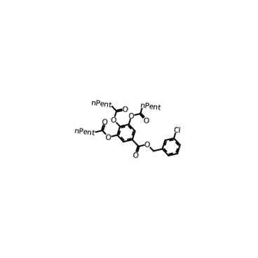 CCCCCC(=O)Oc1cc(C(=O)OCc2cccc(Cl)c2)cc(OC(=O)CCCCC)c1OC(=O)CCCCC